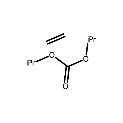 C=C.CC(C)OC(=O)OC(C)C